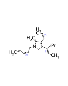 C=C/C=C\CN1CC(C(=C/C)/C(C)C)=C(/C=C\C)C1=C